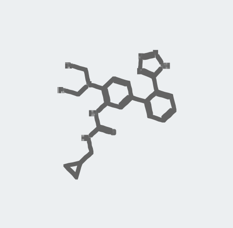 CC(C)CN(CC(C)C)c1ccc(-c2ccccc2-c2nnn[nH]2)cc1NC(=O)NCC1CC1